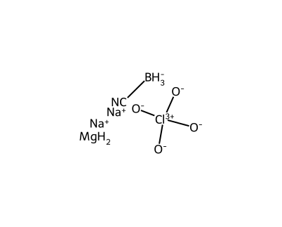 [BH3-]C#N.[MgH2].[Na+].[Na+].[O-][Cl+3]([O-])([O-])[O-]